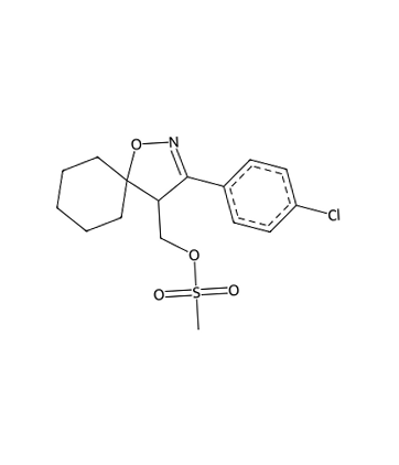 CS(=O)(=O)OCC1C(c2ccc(Cl)cc2)=NOC12CCCCC2